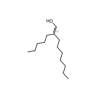 CCCCCCC/C(=C/O)CCCCC